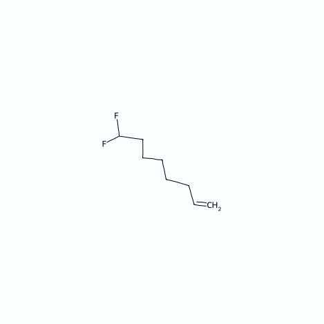 C=CCCCCCC(F)F